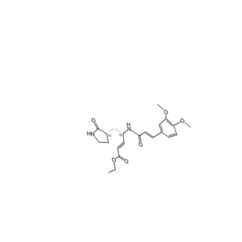 CCOC(=O)C=C[C@H](C[C@@H]1CCNC1=O)NC(=O)C=Cc1ccc(OC)c(OC)c1